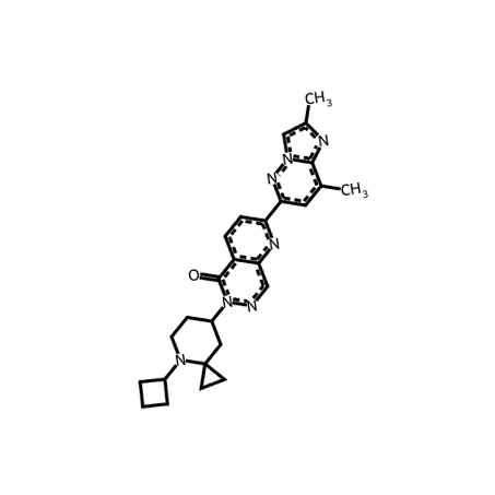 Cc1cn2nc(-c3ccc4c(=O)n(C5CCN(C6CCC6)C6(CC6)C5)ncc4n3)cc(C)c2n1